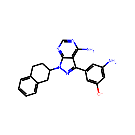 Nc1cc(O)cc(-c2nn(C3CCc4ccccc4C3)c3ncnc(N)c23)c1